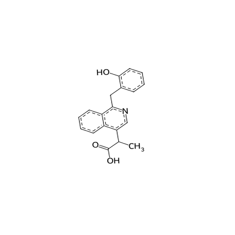 CC(C(=O)O)c1cnc(Cc2ccccc2O)c2ccccc12